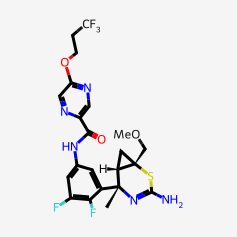 COC[C@]12C[C@H]1[C@@](C)(c1cc(NC(=O)c3cnc(OCCC(F)(F)F)cn3)cc(F)c1F)N=C(N)S2